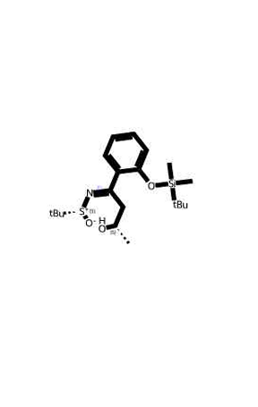 C[C@H](O)C/C(=N\[S@+]([O-])C(C)(C)C)c1ccccc1O[Si](C)(C)C(C)(C)C